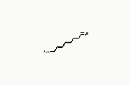 CCCCCC/C=C/C=C/CCC(=O)O